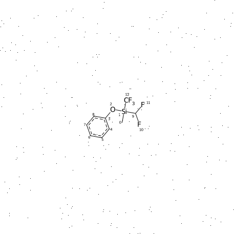 C[Si](Oc1ccccc1)(C(F)F)C(F)(F)F